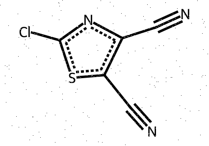 N#Cc1nc(Cl)sc1C#N